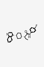 CCC(C(=O)Nc1ccc(F)cc1)[C@H]1CC[C@@H](c2ccnc3ccccc32)CC1